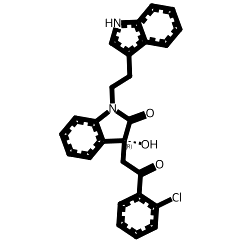 O=C(C[C@]1(O)C(=O)N(CCc2c[nH]c3ccccc23)c2ccccc21)c1ccccc1Cl